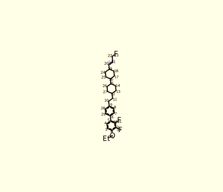 CCOc1ccc(-c2ccc(CCC3CCC(C4CCC(/C=C/CF)CC4)CC3)cc2)c(F)c1F